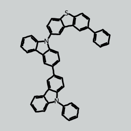 c1ccc(-c2ccc3sc4ccc(-n5c6ccccc6c6cc(-c7ccc8c(c7)c7ccccc7n8-c7ccccc7)ccc65)cc4c3c2)cc1